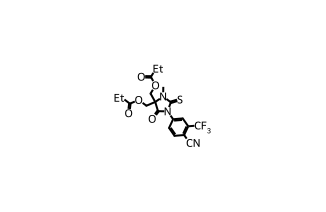 CCC(=O)OCC1(COC(=O)CC)C(=O)N(c2ccc(C#N)c(C(F)(F)F)c2)C(=S)N1C